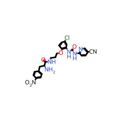 N#Cc1ccc(NC(=O)Nc2cc(Cl)ccc2OCCCNC(=O)C(N)Cc2ccc([N+](=O)[O-])cc2)nc1